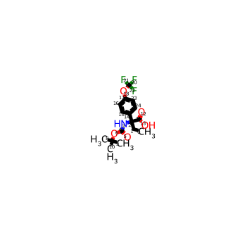 CCC(NC(=O)OC(C)(C)C)(C(=O)O)c1ccc(OC(F)(F)F)cc1